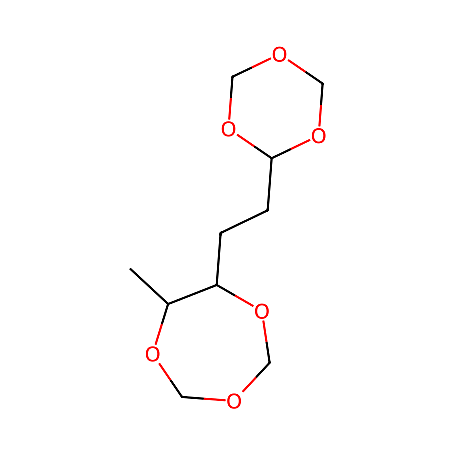 CC1OCOCOC1CCC1OCOCO1